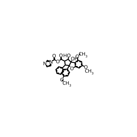 COc1ccc(C23Oc4cc(OC)cc(OC)c4C2(O)C(O)C(C(=O)OC(=O)n2ccnc2)C3c2ccccc2)cc1